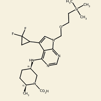 C[C@H]1CC[C@@H](Nc2ncnc3c2c(C2CC2(F)F)cn3COCC[Si](C)(C)C)CN1C(=O)O